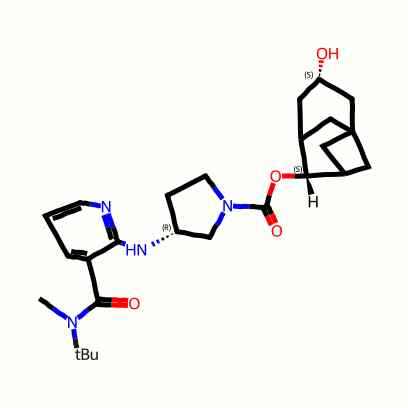 CN(C(=O)c1cccnc1N[C@@H]1CCN(C(=O)O[C@@H]2C3C[C@H](O)CC4(C3)CC2C4)C1)C(C)(C)C